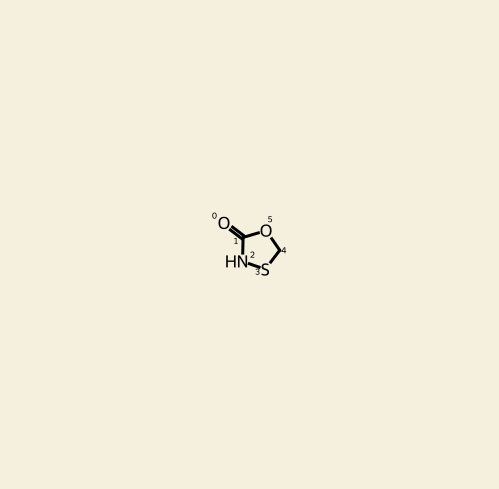 O=C1NSCO1